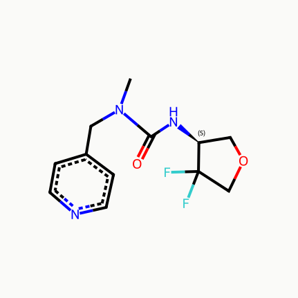 CN(Cc1ccncc1)C(=O)N[C@H]1COCC1(F)F